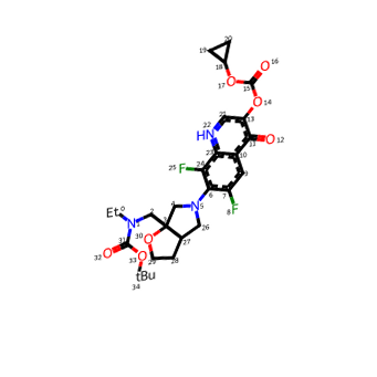 CCN(CC12CN(c3c(F)cc4c(=O)c(OC(=O)OC5CC5)c[nH]c4c3F)CC1CCO2)C(=O)OC(C)(C)C